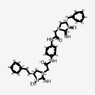 CCN1C(=N)N(CC(=O)Nc2ccc(NC(=O)CN3C[C@H](Cc4ccccc4)N(CC)C3=N)cc2)C[C@@H]1CCc1ccccc1